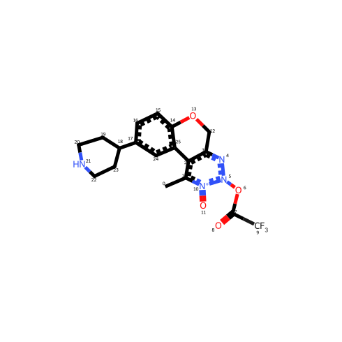 Cc1c2c(nn(OC(=O)C(F)(F)F)[n+]1=O)COc1ccc(C3CCNCC3)cc1-2